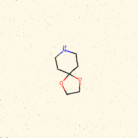 [CH]1CNCCC12OCCO2